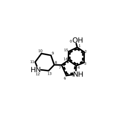 Oc1ccc2[nH]cc(C3CCCNC3)c2c1